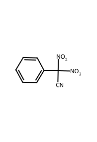 N#CC(c1ccccc1)([N+](=O)[O-])[N+](=O)[O-]